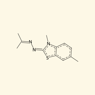 CC(C)=NN=c1sc2cc(C)ccc2n1C